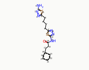 Nc1nnc(CCCCc2nnc(NC(=O)CCc3ccccc3)s2)s1